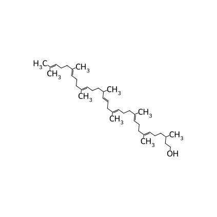 CC(C)=CCCC(C)=CCCC(C)=CCCC(C)C=CCC(C)=CCCC(C)=CCCC(C)=CCCC(C)CCO